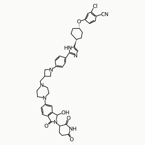 N#Cc1ccc(O[C@H]2CC[C@H](c3cnc(-c4ccc(N5CC(CN6CCN(c7ccc8c(c7)C(O)N(C7CCC(=O)NC7=O)C8=O)CC6)C5)cc4)[nH]3)CC2)cc1Cl